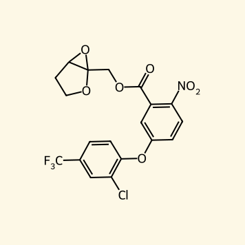 O=C(OCC12OCCC1O2)c1cc(Oc2ccc(C(F)(F)F)cc2Cl)ccc1[N+](=O)[O-]